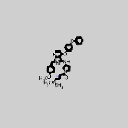 COc1ccc(Cn2nc(N[C@@H]3CCN(C(=O)/C=C/CN(C)C)C3)c3c(Oc4ccc(Oc5ccccc5)cc4)ccnc32)cc1